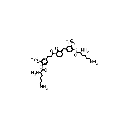 COc1cc(/C=C/C(=O)C2CCC/C(=C\c3ccc(OC(=O)C(N)CCCCN)c(OC)c3)C2=O)ccc1OC(=O)C(N)CCCCN